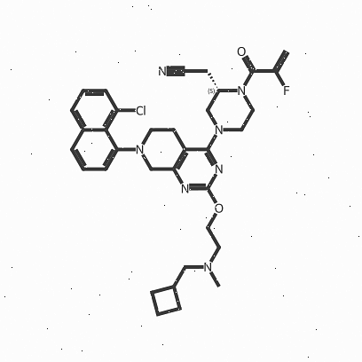 C=C(F)C(=O)N1CCN(c2nc(OCCN(C)CC3CCC3)nc3c2CCN(c2cccc4cccc(Cl)c24)C3)C[C@@H]1CC#N